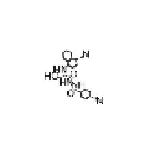 C[C@@H](O)[C@@H](Nc1ccc(C#N)c2ccccc12)C(=O)NNC(=O)c1ccc(C#N)cc1